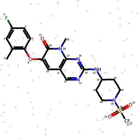 Cc1cc(F)ccc1Oc1cc2cnc(NC3CCN(S(=O)(=O)C(F)(F)F)CC3)nc2n(C)c1=O